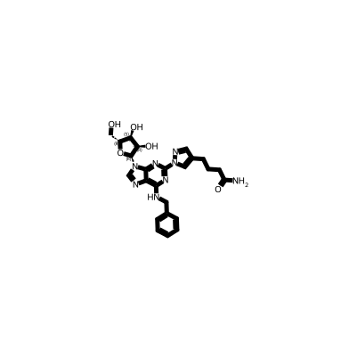 NC(=O)CCCc1cnn(-c2nc(NCc3ccccc3)c3ncn([C@@H]4O[C@H](CO)[C@@H](O)[C@H]4O)c3n2)c1